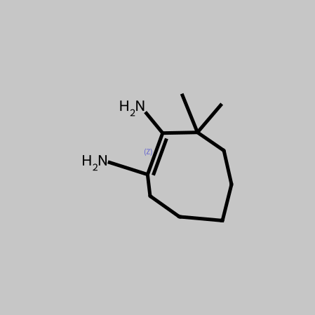 CC1(C)CCCCC/C(N)=C\1N